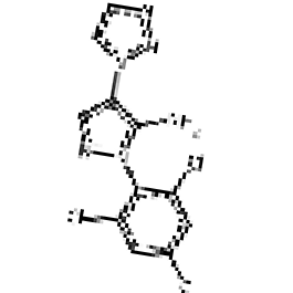 Nc1c(-n2ccnn2)cnn1-c1c(Cl)cc(Cl)cc1Cl